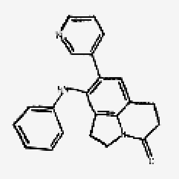 O=C1CCc2cc(-c3cccnc3)c(Nc3ccccc3)c3c2N1CC3